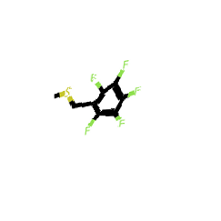 CSCc1c(F)c(F)c(F)c(F)c1F